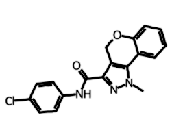 Cn1nc(C(=O)Nc2ccc(Cl)cc2)c2c1-c1ccccc1OC2